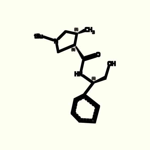 C[C@H]1CN(C(C)(C)C)C[C@H]1C(=O)N[C@@H](CO)c1ccccc1